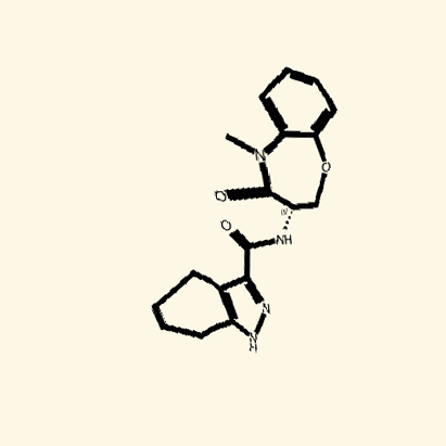 CN1C(=O)[C@@H](NC(=O)c2n[nH]c3c2CCCC3)COc2ccccc21